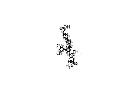 CCc1c(N2CCC(CNC(C)=O)CC2)cc(-c2cc(Cl)cc(Cl)c2)nc1Oc1cnc(N2CCN(CCC(=O)O)CC2)cn1